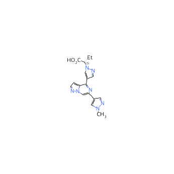 CC[C@@H](C(=O)O)n1cc(-c2nc(-c3cnn(C)c3)cn3nccc23)cn1